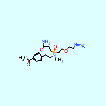 CC(=O)c1ccc(CCN(C)P(=O)(CCOCCN=[N+]=[N-])CCC(N)=O)cc1